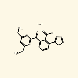 COc1cc(OC)nc(C(=O)c2nccc(-c3cccs3)c2C(=O)O)n1.[NaH]